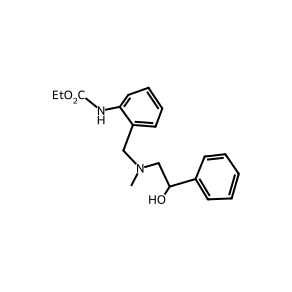 CCOC(=O)Nc1ccccc1CN(C)CC(O)c1ccccc1